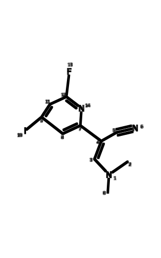 CN(C)C=C(C#N)c1cc(I)cc(F)n1